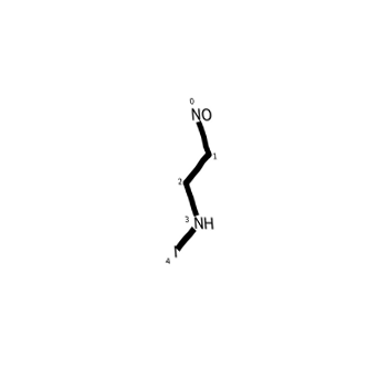 O=NCCNI